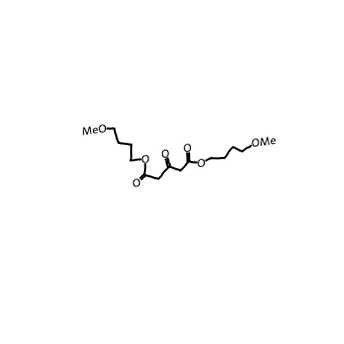 COCCCCOC(=O)CC(=O)CC(=O)OCCCCOC